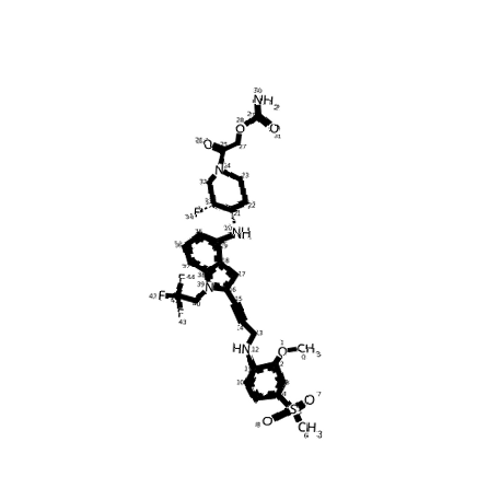 COc1cc(S(C)(=O)=O)ccc1NCC#Cc1cc2c(N[C@H]3CCN(C(=O)COC(N)=O)C[C@H]3F)cccc2n1CC(F)(F)F